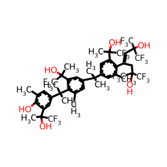 Cc1cc(C(C)(C)c2c(C)cc(C(C)(C)c3cc(C)c(/C(=C/C(O)(C(F)(F)F)C(F)(F)F)CC(O)(C(F)(F)F)C(F)(F)F)c(C(C)(O)C(F)(F)F)c3)cc2C(C)(O)C(F)(F)F)cc(C(C)(O)C(F)(F)F)c1O